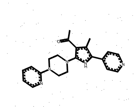 CC(=O)c1c(N2CCN(c3ccccn3)CC2)[nH]c(-c2ccncc2)c1C